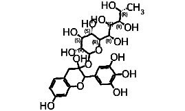 C[C@@H](O)[C@@H](O)[C@H](O)[C@@H](O)[C@H]1OC(OC2(O)Cc3ccc(O)cc3OC2c2cc(O)c(O)c(O)c2)[C@H](O)[C@@H](O)[C@@H]1O